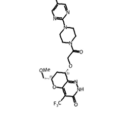 COC[C@@H]1C[C@H](OCC(=O)N2CCN(c3ncc(C(F)(F)F)cn3)CC2)c2n[nH]c(=O)c(C(F)(F)F)c2O1